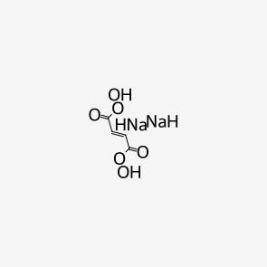 O=C(C=CC(=O)OO)OO.[NaH].[NaH]